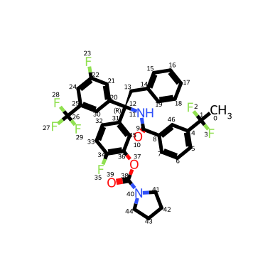 CC(F)(F)c1cccc(C(=O)N[C@@](Cc2ccccc2)(c2cc(F)cc(C(F)(F)F)c2)c2ccc(F)c(OC(=O)N3CCCC3)c2)c1